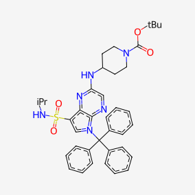 CC(C)NS(=O)(=O)c1cn(C(c2ccccc2)(c2ccccc2)c2ccccc2)c2ncc(NC3CCN(C(=O)OC(C)(C)C)CC3)nc12